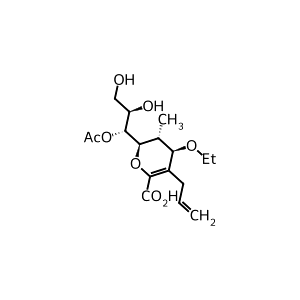 C=CCC1=C(C(=O)O)O[C@@H]([C@H](OC(C)=O)[C@H](O)CO)[C@H](C)[C@H]1OCC